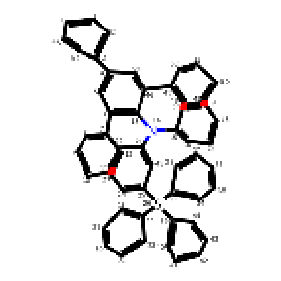 c1ccc(-c2cc(-c3ccccc3)c(N(c3ccccc3)c3cccc([Si](c4ccccc4)(c4ccccc4)c4ccccc4)c3)c(-c3ccccc3)c2)cc1